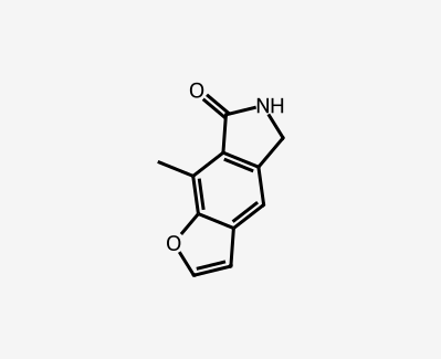 Cc1c2c(cc3ccoc13)CNC2=O